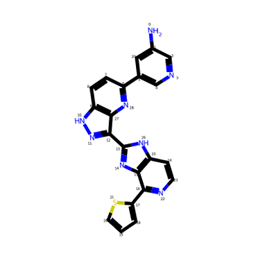 Nc1cncc(-c2ccc3[nH]nc(-c4nc5c(-c6cccs6)nccc5[nH]4)c3n2)c1